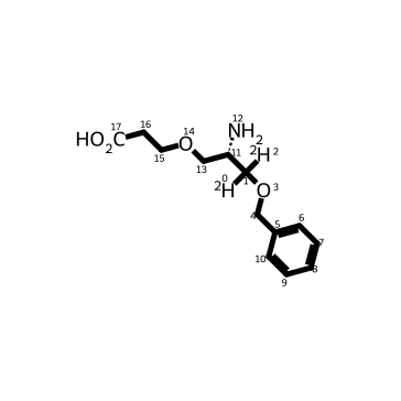 [2H]C([2H])(OCc1ccccc1)[C@@H](N)COCCC(=O)O